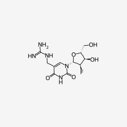 N=C(N)NCc1cn([C@@H]2O[C@H](CO)[C@@H](O)[C@H]2F)c(=O)[nH]c1=O